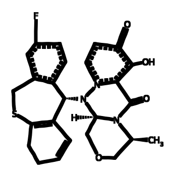 C[C@H]1COC[C@@H]2N1C(=O)c1c(O)c(=O)ccn1N2[C@@H]1C2=C(CCC=C2)SCc2cc(F)ccc21